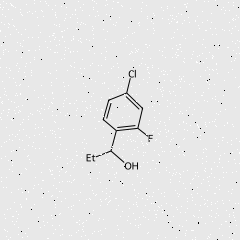 CCC(O)c1ccc(Cl)cc1F